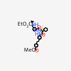 CCOC(=O)C1(NCc2cccc(C(=O)Nc3sc4c(c3C(=O)Nc3ccc(CCc5ccc(C(=O)OC)cc5)cc3)CCCC4)c2)CC1